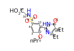 CCCOc1ccc(S(=O)(=O)NCC(=O)O)cc1-c1nc(CC)c(CC)c(=O)[nH]1